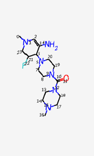 CN1C=C(N)C(N2CCN(C(=O)N3CCN(C)CC3)CC2)C(F)C1